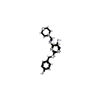 Fc1ccc(COc2ncc(F)c(/N=C/N3CCOCC3)n2)cc1